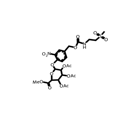 COC(=O)C1OC(Oc2ccc(COC(=O)NCCS(C)(=O)=O)cc2[N+](=O)[O-])C(OC(C)=O)C(OC(C)=O)C1OC(C)=O